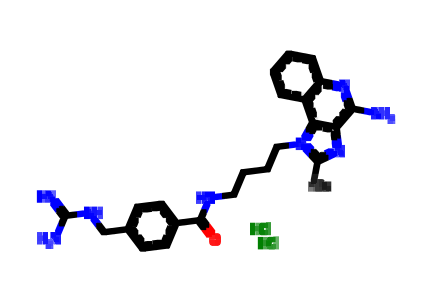 CCCCc1nc2c(N)nc3ccccc3c2n1CCCCNC(=O)c1ccc(CNC(=N)N)cc1.Cl.Cl